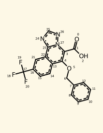 O=C(O)c1c(OCc2ccccc2)c2ccc(C(F)(F)F)cc2c2ncnn12